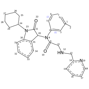 C=C(C)/C=C(\C=C/C)N(C(=O)CNCc1ccccn1)C1C(=O)N(C2CCCCC2)c2ccccc21